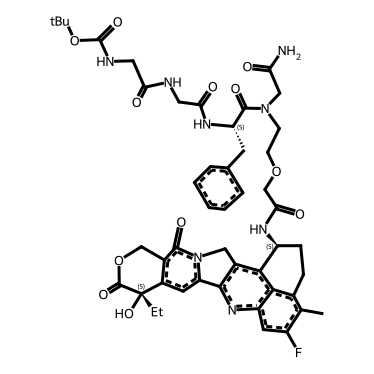 CC[C@@]1(O)C(=O)OCc2c1cc1n(c2=O)Cc2c-1nc1cc(F)c(C)c3c1c2[C@@H](NC(=O)COCCN(CC(N)=O)C(=O)[C@H](Cc1ccccc1)NC(=O)CNC(=O)CNC(=O)OC(C)(C)C)CC3